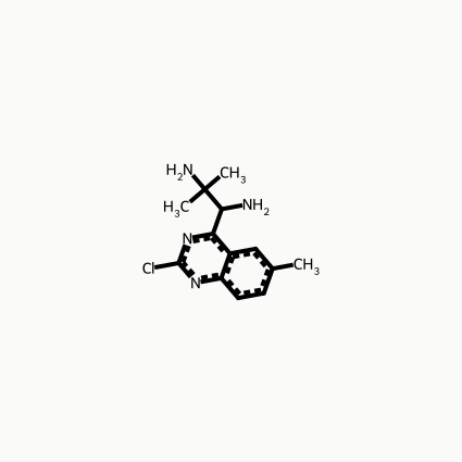 Cc1ccc2nc(Cl)nc(C(N)C(C)(C)N)c2c1